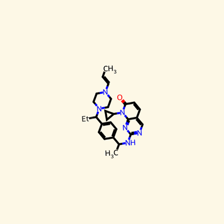 CC=CN1CCN(C(CC)c2ccc(C(C)Nc3ncc4ccc(=O)n(C5CC5)c4n3)cc2)CC1